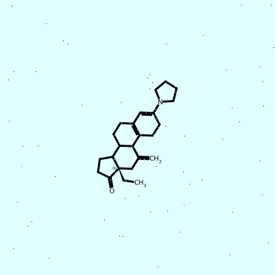 C=C1C[C@]2(CC)C(=O)CCC2C2CCC3=C(CCC(N4CCCC4)=C3)C12